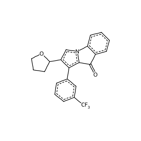 O=C1c2ccccc2-n2cc(C3CCCO3)c(-c3cccc(C(F)(F)F)c3)c21